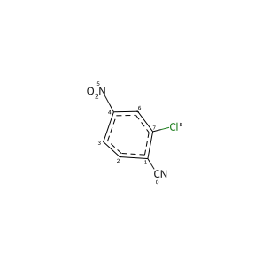 N#Cc1ccc([N+](=O)[O-])cc1Cl